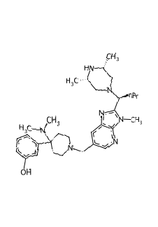 CCC[C@@H](c1nc2cc(CN3CCC(c4cccc(O)c4)(N(C)C)CC3)cnc2n1C)N1C[C@@H](C)N[C@@H](C)C1